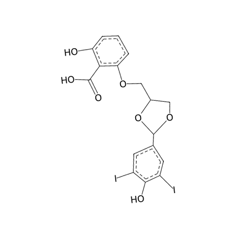 O=C(O)c1c(O)cccc1OCC1COC(c2cc(I)c(O)c(I)c2)O1